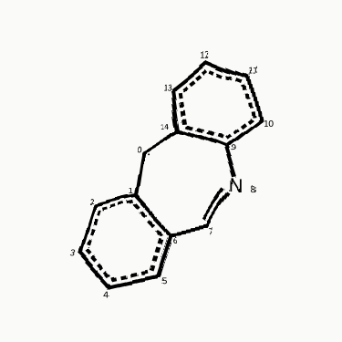 [C]1c2ccccc2C=Nc2ccccc21